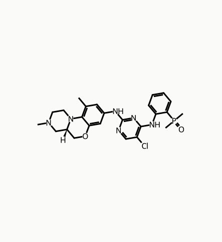 Cc1cc(Nc2ncc(Cl)c(Nc3ccccc3P(C)(C)=O)n2)cc2c1N1CCN(C)C[C@H]1CO2